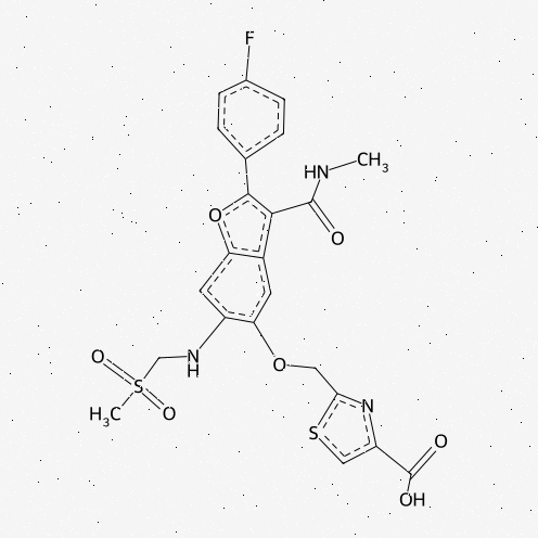 CNC(=O)c1c(-c2ccc(F)cc2)oc2cc(NCS(C)(=O)=O)c(OCc3nc(C(=O)O)cs3)cc12